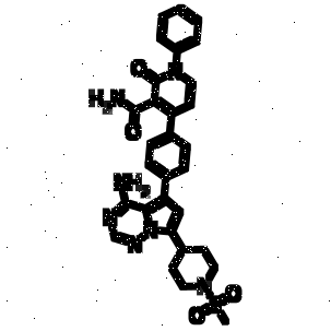 CS(=O)(=O)N1CCC(c2cc(-c3ccc(-c4ccn(-c5ccccc5)c(=O)c4C(N)=O)cc3)c3c(N)ncnn23)CC1